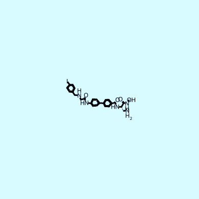 NC[C@H](NC(=O)c1ccc(-c2ccc(NC(=O)CNCc3ccc(I)cc3)cc2)cc1)C(=O)NO